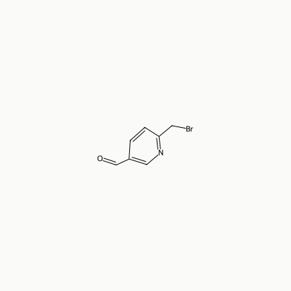 O=Cc1ccc(CBr)nc1